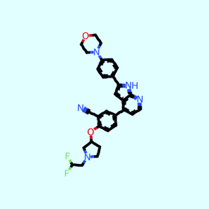 N#Cc1cc(-c2ccnc3[nH]c(-c4ccc(N5CCOCC5)cc4)cc23)ccc1OC1CCN(CC(F)F)C1